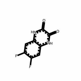 O=c1[nH]c2cc(F)c(F)cc2[nH]c1=O